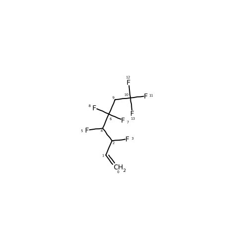 C=CC(F)C(F)C(F)(F)CC(F)(F)F